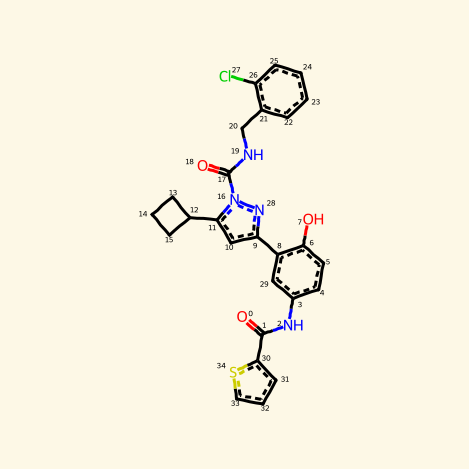 O=C(Nc1ccc(O)c(-c2cc(C3CCC3)n(C(=O)NCc3ccccc3Cl)n2)c1)c1cccs1